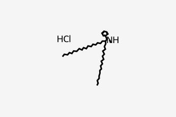 CCCCCCCCCCCCCCCCCCC(CCCCCCCCCCCCCCCCCC)C(NC)c1ccccc1.Cl